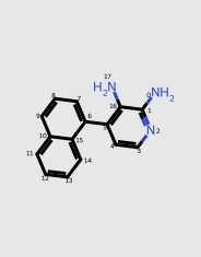 Nc1nccc(-c2cccc3ccccc23)c1N